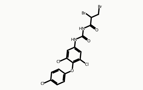 O=C(NC(=O)C(Br)CBr)Nc1cc(Cl)c(Oc2ccc(Cl)cc2)c(Cl)c1